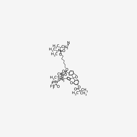 CC(C)N(C(C)C)P(OCCC#N)OCCCCCCOP(=O)(OCCCCNC(=O)C(F)(F)F)c1ccc2c(c1)C1(OC2)c2ccc(OC(=O)C(C)(C)C)cc2Oc2cc(OC(=O)C(C)(C)C)ccc21